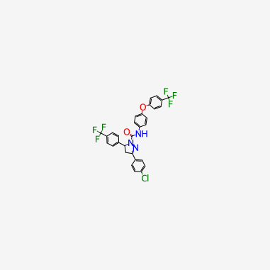 O=C(Nc1ccc(Oc2ccc(C(F)(F)F)cc2)cc1)N1N=C(c2ccc(Cl)cc2)CC1c1ccc(C(F)(F)F)cc1